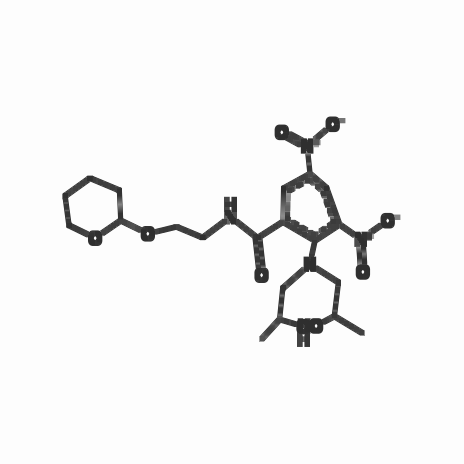 CC(O)CN(CC(C)O)c1c(C(=O)NCCOC2CCCCO2)cc([N+](=O)[O-])cc1[N+](=O)[O-]